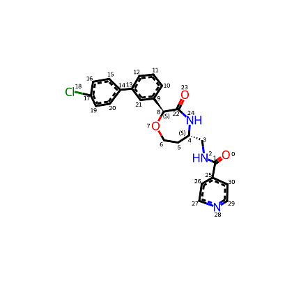 O=C(NC[C@@H]1CCO[C@@H](c2cccc(-c3ccc(Cl)cc3)c2)C(=O)N1)c1ccncc1